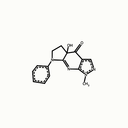 Cn1ncc2c1N=C1N(c3ccccc3)CCC1(O)C2=O